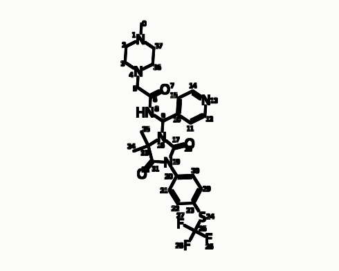 CN1CCN(CC(=O)NC(c2ccncc2)N2C(=O)N(c3ccc(SC(F)(F)F)cc3)C(=O)C2(C)C)CC1